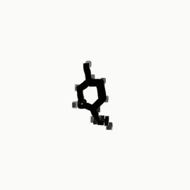 CC1=C=CC(N)OC1